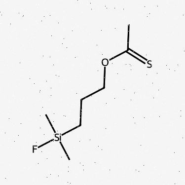 CC(=S)OCCC[Si](C)(C)F